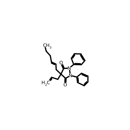 C=CCC1(CC=CCCC)C(=O)N(c2ccccc2)N(c2ccccc2)C1=O